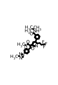 CNC(=O)c1c(-c2ccc(-n3cnc(C)n3)cc2)oc2nc(CCC(F)(F)F)c(-c3cccc(C(=O)NC(C)(C)C)c3)cc12